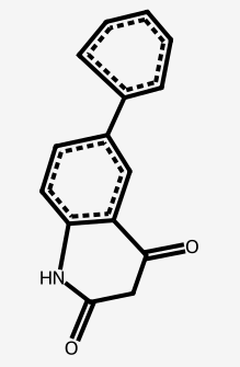 O=C1CC(=O)c2cc(-c3ccccc3)ccc2N1